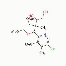 COCOC(c1ncc(Br)c(C)c1OC)C(C)(COC)C(O)CO